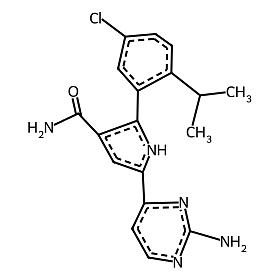 CC(C)c1ccc(Cl)cc1-c1[nH]c(-c2ccnc(N)n2)cc1C(N)=O